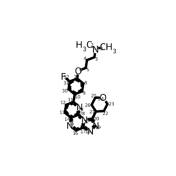 CN(C)CCCOc1ccc(-c2ccc3ncc4nnc(C5CCOCC5)n4c3n2)cc1F